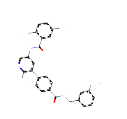 COc1cccc(CNC(=O)c2ccc(-c3cc(NC(=O)c4cc(C(C)(C)C)ccc4OC)cnc3C)cc2)c1